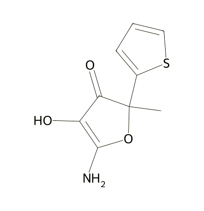 CC1(c2cccs2)OC(N)=C(O)C1=O